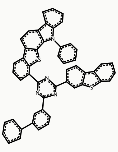 c1ccc(-c2cccc(-c3nc(-c4ccc5c(c4)sc4ccccc45)nc(-c4cccc5c4sc4c5ccc5c6ccccc6n(-c6ccccc6)c54)n3)c2)cc1